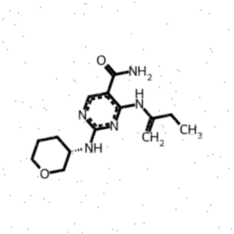 C=C(CC)Nc1nc(N[C@H]2CCCOC2)ncc1C(N)=O